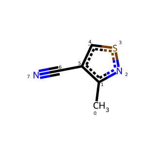 Cc1ns[c]c1C#N